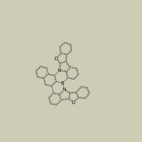 c1ccc2c3c4c(cc2c1)-c1cccc2c5oc6ccccc6c5n(c12)B4c1cccc2c4c5ccccc5oc4n-3c12